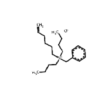 C=CCCCC[N+](CCCC)(CCCC)Cc1ccccc1.[Cl-]